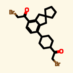 O=C(CBr)c1ccc(C2CCC(C(=O)CBr)CC2)c2c1CC1(CCCC1)C2